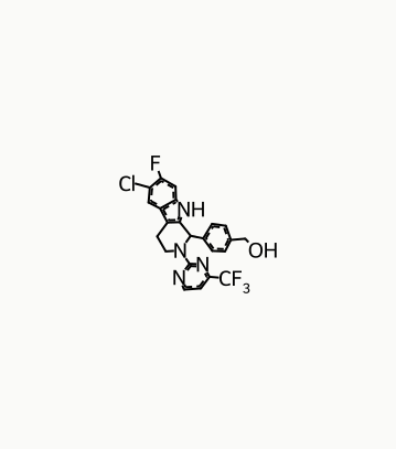 OCc1ccc(C2c3[nH]c4cc(F)c(Cl)cc4c3CCN2c2nccc(C(F)(F)F)n2)cc1